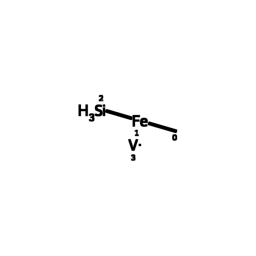 [CH3][Fe][SiH3].[V]